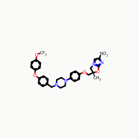 C[C@@]1(COc2ccc(N3CCN(Cc4ccc(Oc5ccc(OC(F)(F)F)cc5)cc4)CC3)cc2)Cn2cc([N+](=O)[O-])nc2O1